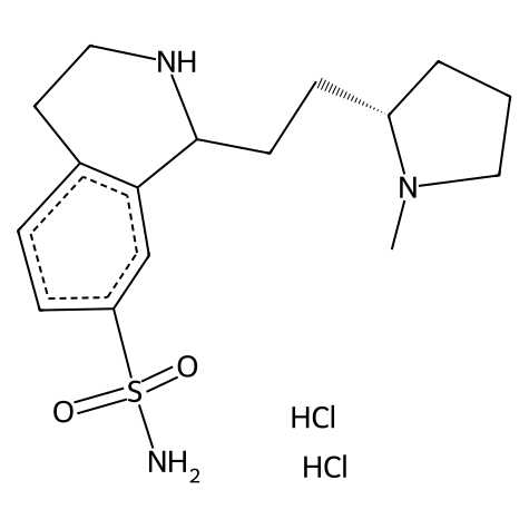 CN1CCC[C@H]1CCC1NCCc2ccc(S(N)(=O)=O)cc21.Cl.Cl